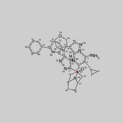 Nc1c(C2CC2)c(C2CC3CCC(C2)N3C(=O)c2nnc(N3CCOCC3)[nH]2)nc2c(-c3ccc(-c4ccccc4)nc3)cnn12